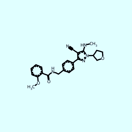 CNc1c(C#N)c(-c2ccc(CNC(=O)c3ccccc3OC)cc2)nn1C1CCOC1